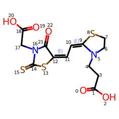 O=C(O)CCN1CCS/C1=C/C=C1/SC(=S)N(CC(=O)O)C1=O